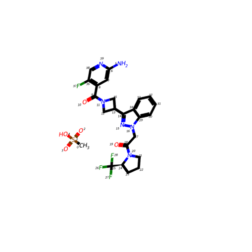 CS(=O)(=O)O.Nc1cc(C(=O)N2CC(c3nn(CC(=O)N4CCC[C@H]4C(F)(F)F)c4ccccc34)C2)c(F)cn1